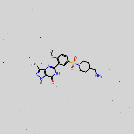 CCCc1nn(C)c2c(=O)[nH]c(-c3cc(S(=O)(=O)N4CCC(CN)CC4)ccc3OCC)nc12